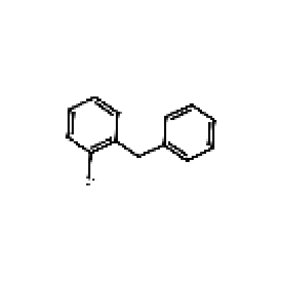 Brc1ccc[c]c1Cc1ccccc1